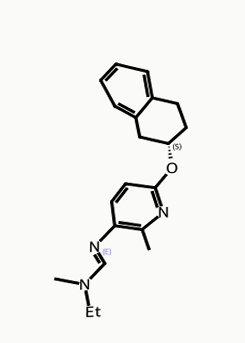 CCN(C)/C=N/c1ccc(O[C@H]2CCc3ccccc3C2)nc1C